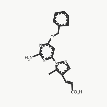 Cc1c(C=CC(=O)O)cnn1-c1cc(OCc2ccccc2)nc(N)n1